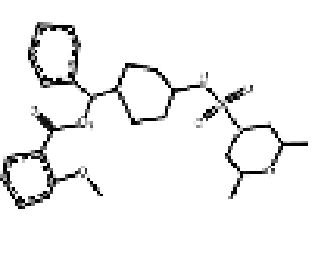 COc1ccccc1C(=O)NC(c1ccccc1)C1CCC(NS(=O)(=O)N2CC(C)OC(C)C2)CC1